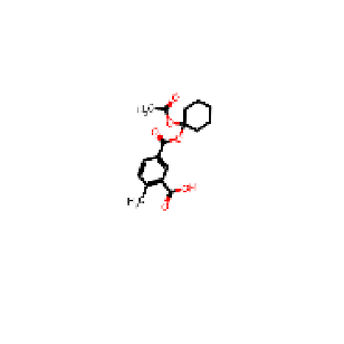 CC(=O)OC1(OC(=O)c2ccc(C)c(C(=O)O)c2)CCCCC1